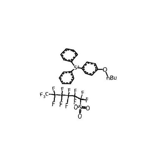 CCCCOc1ccc([S+](c2ccccc2)c2ccccc2)cc1.O=S(=O)([O-])C(F)(F)C(F)(F)C(F)(F)C(F)(F)C(F)(F)C(F)(F)F